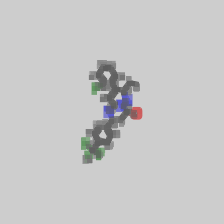 CCc1nn2c(=O)cc(-c3ccc(C(F)(F)F)cc3)nc2cc1-c1ccccc1F